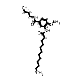 CCCCCCCCCCCC(=O)Nc1cc(C(=O)NCCCC)ccc1OC